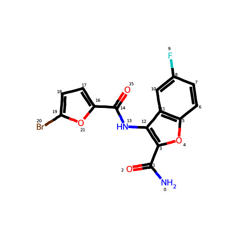 NC(=O)c1oc2ccc(F)cc2c1NC(=O)c1ccc(Br)o1